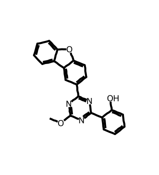 COc1nc(-c2ccc3oc4ccccc4c3c2)nc(-c2ccccc2O)n1